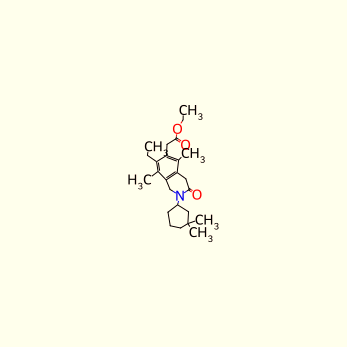 CCOC(=O)Cc1c(C)c2c(c(C)c1CC)CN(C1CCCC(C)(C)C1)C(=O)C2